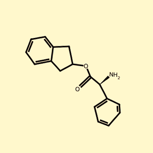 N[C@H](C(=O)OC1Cc2ccccc2C1)c1ccccc1